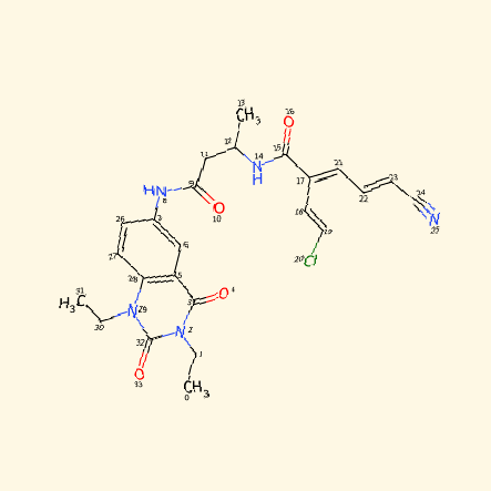 CCn1c(=O)c2cc(NC(=O)CC(C)NC(=O)C(/C=C/Cl)=C/C=C/C#N)ccc2n(CC)c1=O